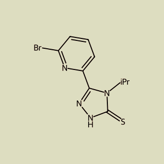 CC(C)n1c(-c2cccc(Br)n2)n[nH]c1=S